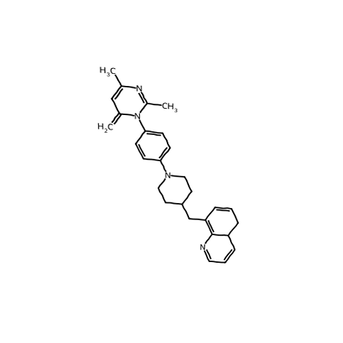 C=C1C=C(C)N=C(C)N1c1ccc(N2CCC(CC3=C4N=CC=CC4CC=C3)CC2)cc1